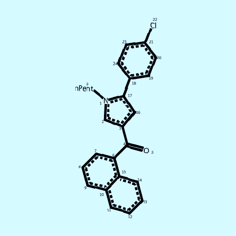 CCCCCn1cc(C(=O)c2cccc3ccccc23)cc1-c1ccc(Cl)cc1